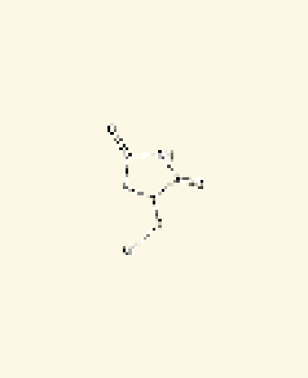 O=C1CC(SCl)C(=O)N1